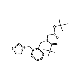 CC(C)(C)OC(=O)CN(Cc1ccccc1Cn1ccnc1)C(=O)C(C)(C)C